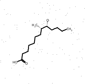 CCCC[C@@H]([O])[C@@H](C)CCCCCCC(=O)O